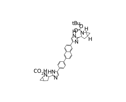 CC(C)(C)OC(=O)N1[C@@H]2C[C@H]2C[C@H]1c1nc(-c2ccc3cc(-c4ccc(-c5cnc(C6CC7CC7N6C(=O)O)[nH]5)cc4)ccc3c2)c[nH]1